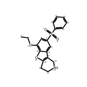 CCOc1cc(S(=O)(=O)c2ccccc2)cc2c3c(oc12)CCNC3